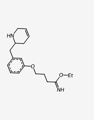 CCOC(=N)CCCOc1cccc(CC2CC=CCN2)c1